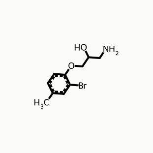 Cc1ccc(OCC(O)CN)c(Br)c1